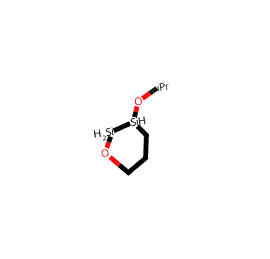 CC(C)O[SiH]1CCCO[SiH2]1